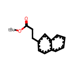 CC(C)(C)OC(=O)CCc1ccc2ccccc2c1